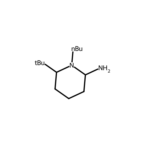 CCCCN1C(N)CCCC1C(C)(C)C